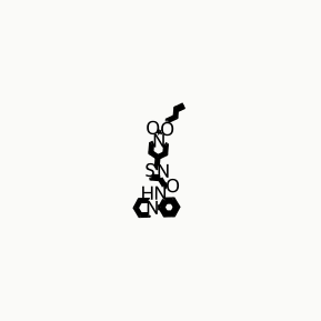 C=CCCOC(=O)N1CCC(c2nc(C(=O)Nc3ccccc3N3CCCCC3)cs2)CC1